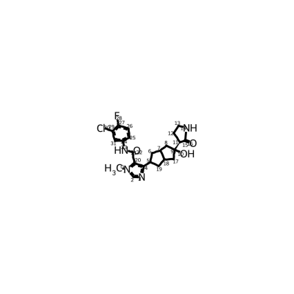 Cn1cnc(C2CC3CC(O)([C@H]4CCNC4=O)CC3C2)c1C(=O)Nc1ccc(F)c(Cl)c1